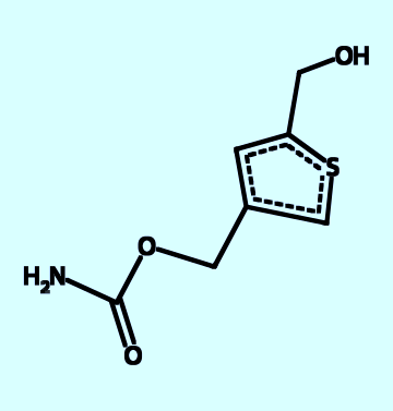 NC(=O)OCc1csc(CO)c1